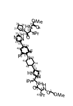 COCON[C@H](C(=O)N[C@H](c1ncc(C2CCN(c3c(F)cc(-c4cnc([C@@H]5CCCN5C(=O)[C@@H](NC(=O)OC)C(C)C)[nH]4)cc3F)CC2)[nH]1)C(C)C)C(C)C